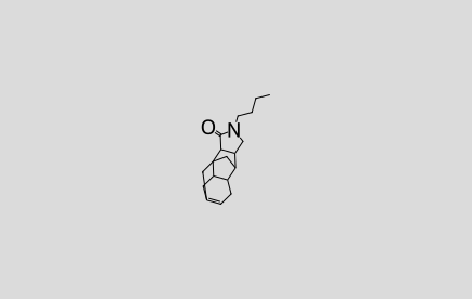 CCCCN1CC2C3CC4(CC5=CCC3C4C5)C2C1=O